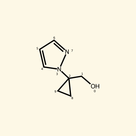 OCC1(n2cccn2)CC1